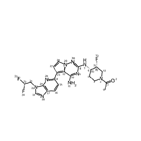 CC(=O)N1CC[C@H](Nc2nc(N)c3c(-c4ccc5ncn(CC(F)F)c5n4)ccn3n2)[C@H](F)C1